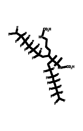 CC(C)(NC(=O)O)C(C)(CC(F)(F)C(F)(F)C(F)(F)C(F)(F)C(F)(F)C(F)F)C(CCCNC(=O)O)CC(F)(F)C(F)(F)C(F)(F)C(F)(F)C(F)(F)C(F)F